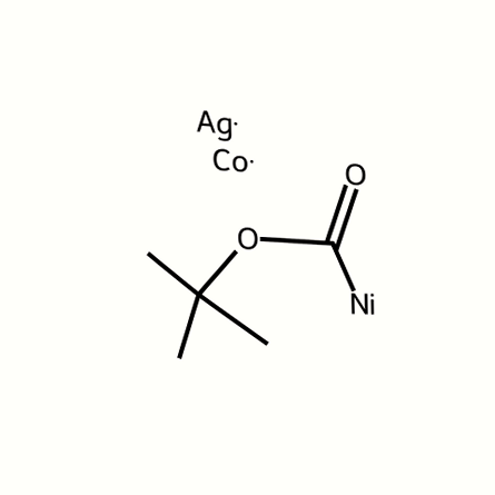 CC(C)(C)O[C](=O)[Ni].[Ag].[Co]